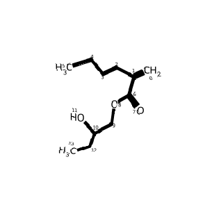 C=C(CCCC)C(=O)OCC(O)CC